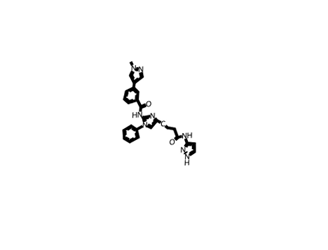 Cn1cc(-c2cccc(C(=O)Nc3nc(CCCC(=O)Nc4cc[nH]n4)cn3-c3ccccc3)c2)cn1